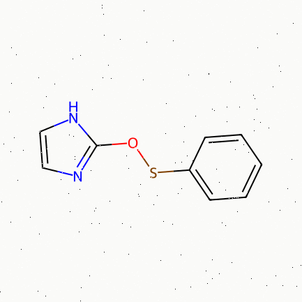 c1ccc(SOc2ncc[nH]2)cc1